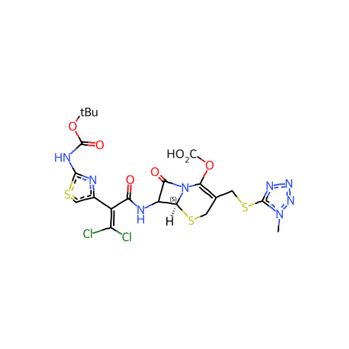 Cn1nnnc1SCC1=C(OC(=O)O)N2C(=O)C(NC(=O)C(=C(Cl)Cl)c3csc(NC(=O)OC(C)(C)C)n3)[C@@H]2SC1